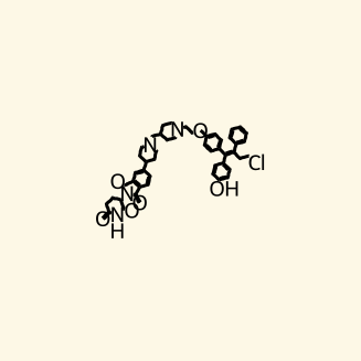 O=C1CCC(N2C(=O)c3ccc(C4CCN(CC5CCN(CCOc6ccc(C(=C(CCCl)c7ccccc7)c7ccc(O)cc7)cc6)CC5)CC4)cc3C2=O)C(=O)N1